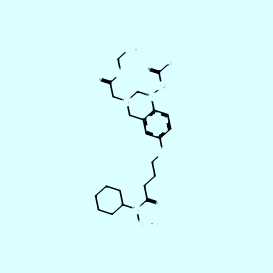 CCCCCCN(C(=O)CCCOc1ccc2c(c1)CN(CC(=O)OCC(C)(C)C)CN2NC(=O)C(C)C)C1CCCCC1